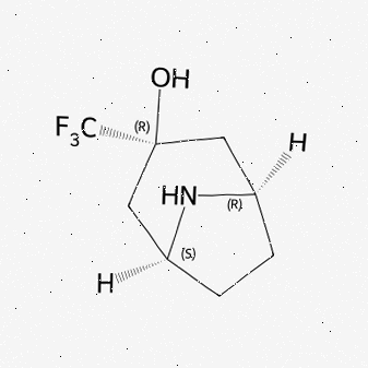 O[C@@]1(C(F)(F)F)C[C@H]2CC[C@@H](C1)N2